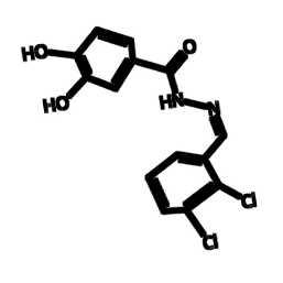 O=C(N/N=C\c1cccc(Cl)c1Cl)c1ccc(O)c(O)c1